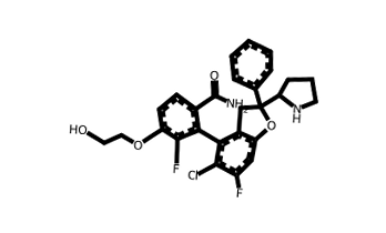 NC(=O)c1ccc(OCCO)c(F)c1-c1c(Cl)c(F)cc2c1CC(c1ccccc1)(C1CCCN1)O2